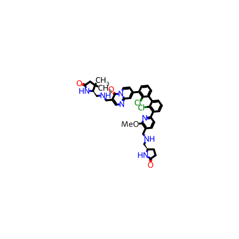 COc1nc(-c2cccc(-c3cccc(-c4ccn5c(=O)c(CNC[C@H]6NC(=O)CC6(C)C)cnc5c4)c3Cl)c2Cl)ccc1CNC[C@H]1CCC(=O)N1